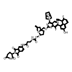 C#Cc1c(F)ccc2cc(O)cc(-c3ncc4c(N5CC6CCC(C5)N6)nc(OCC56CCC(COC(=O)NCCC(=O)Nc7ccc8c(c7)C(=O)N(C7CCC(=O)NC7=O)C8=O)N5CC(=C)C6)nc4c3F)c12